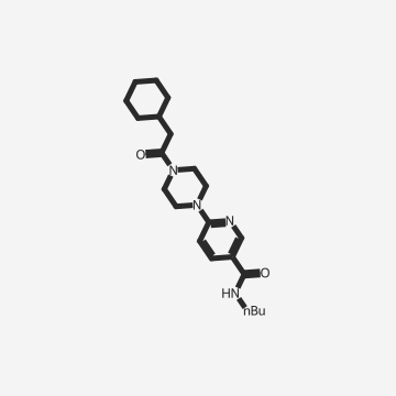 CCCCNC(=O)c1ccc(N2CCN(C(=O)CC3CCCCC3)CC2)nc1